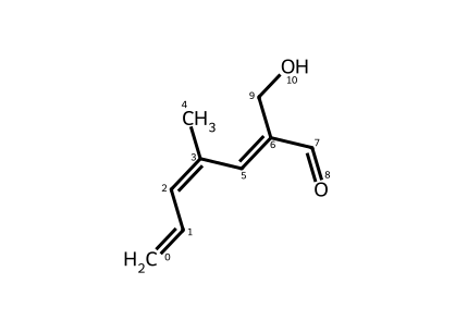 C=C/C=C(C)\C=C(\C=O)CO